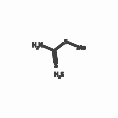 NC(=S)[S][Mo].S